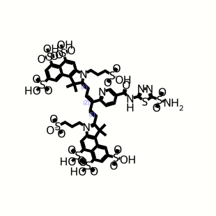 CC1(C)C(/C=C/C(=C/C=C2/N(CCCS(=O)(=O)O)c3cc(S(=O)(=O)O)c4c(S(=O)(=O)O)cc(S(=O)(=O)O)cc4c3C2(C)C)c2ccc(C(=O)Nc3nnc(S(N)(=O)=O)s3)cn2)=[N+](CCCS(=O)(=O)[O-])c2cc(S(=O)(=O)O)c3c(S(=O)(=O)O)cc(S(=O)(=O)O)cc3c21